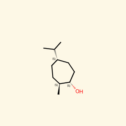 CC(C)[C@H]1CC[C@H](C)[C@@H](O)CC1